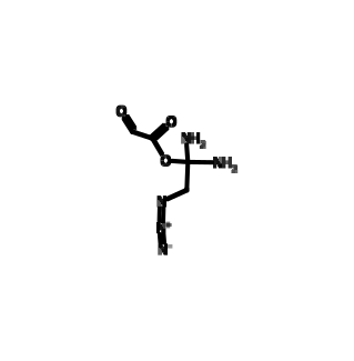 [N-]=[N+]=NCC(N)(N)OC(=O)C=O